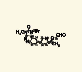 CC(C)n1c(=O)n(C)c2nnc3ccc(-c4ccc([C@@H](C)OCC=O)nc4)cc3c21